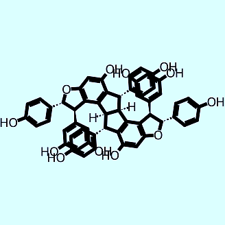 Oc1ccc([C@H]2c3c(O)cc4c(c3[C@@H]3[C@@H](c5ccc(O)cc5)c5c(O)cc6c(c5[C@H]23)[C@@H](c2cc(O)cc(O)c2)[C@H](c2ccc(O)cc2)O6)[C@@H](c2cc(O)cc(O)c2)[C@H](c2ccc(O)cc2)O4)cc1